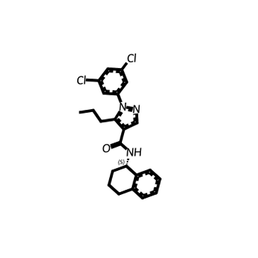 CCCc1c(C(=O)N[C@H]2CCCc3ccccc32)cnn1-c1cc(Cl)cc(Cl)c1